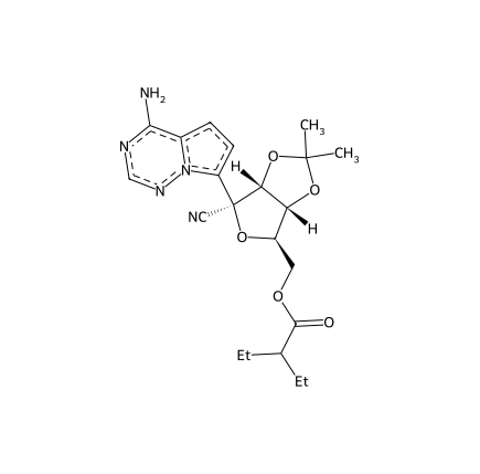 CCC(CC)C(=O)OC[C@H]1O[C@@](C#N)(c2ccc3c(N)ncnn23)[C@@H]2OC(C)(C)O[C@@H]21